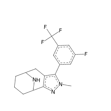 Cn1nc2c(c1-c1cc(F)cc(C(F)(F)F)c1)CC1CCCC2N1